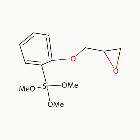 CO[Si](OC)(OC)c1ccccc1OCC1CO1